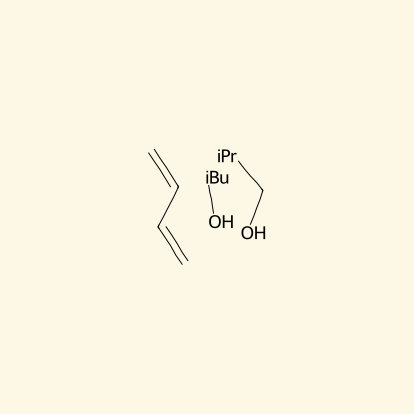 C=CC=C.CC(C)CO.CCC(C)O